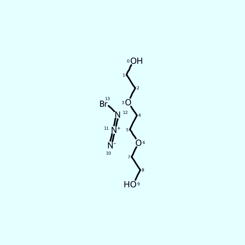 OCCOCCOCCO.[N-]=[N+]=NBr